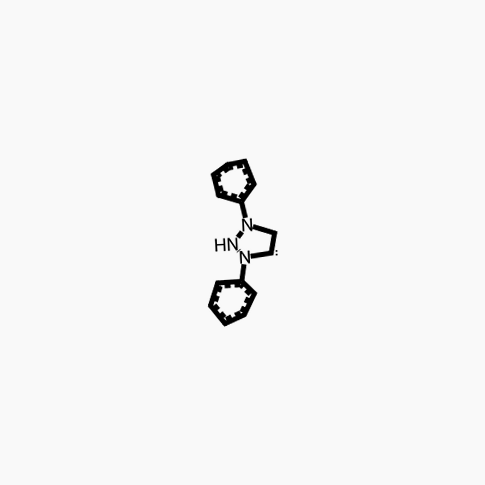 [C]1CN(c2ccccc2)NN1c1ccccc1